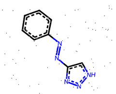 [c]1ccccc1N=Nc1c[nH]nn1